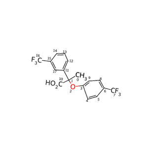 CC(Oc1ccc(C(F)(F)F)cc1)(C(=O)O)c1cccc(C(F)(F)F)c1